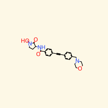 O=C(NC1CCN(O)C1=O)c1ccc(C#Cc2ccc(CN3CCOCC3)cc2)cc1